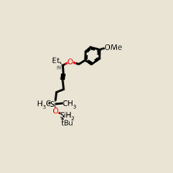 CC[C@@H](C#CCC[Si](C)(C)O[SiH2]C(C)(C)C)OCc1ccc(OC)cc1